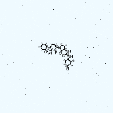 CP(C)(=O)C1(F)C(c2ccccc2)=CC=C(N2CC[C@@H](NC(=O)Nc3ccc(Cl)cc3F)C2=O)C1F